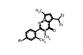 CCC(CC)c1cc(C)n2nc(-c3ccc(C(C)C)cc3C)n(C)c(=O)c12